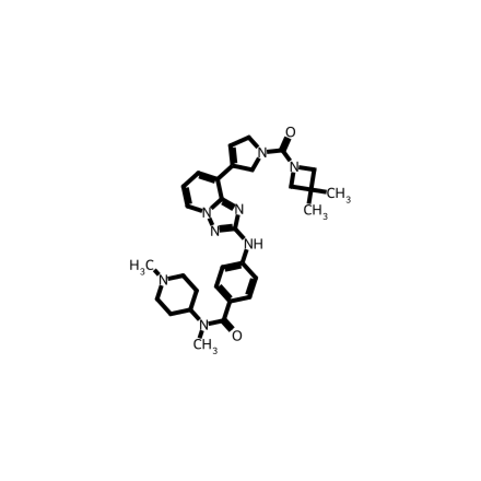 CN1CCC(N(C)C(=O)c2ccc(Nc3nc4c(C5=CCN(C(=O)N6CC(C)(C)C6)C5)cccn4n3)cc2)CC1